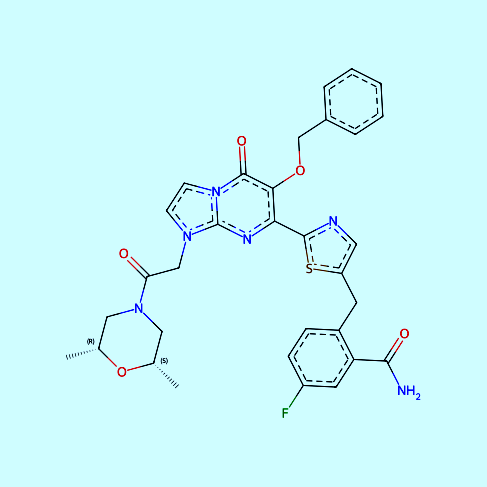 C[C@@H]1CN(C(=O)Cn2ccn3c(=O)c(OCc4ccccc4)c(-c4ncc(Cc5ccc(F)cc5C(N)=O)s4)nc23)C[C@H](C)O1